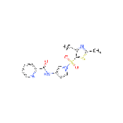 Cc1nc(C)c(S(=O)(=O)n2ccc(NC(=O)c3ccccn3)c2)s1